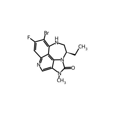 CC[C@@H]1CNc2c(Br)c(F)cc3ncc4c(c23)n1c(=O)n4C